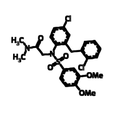 COc1ccc(S(=O)(=O)N(CC(=O)N(C)C)c2ccc(Cl)cc2Cc2ccccc2Cl)cc1OC